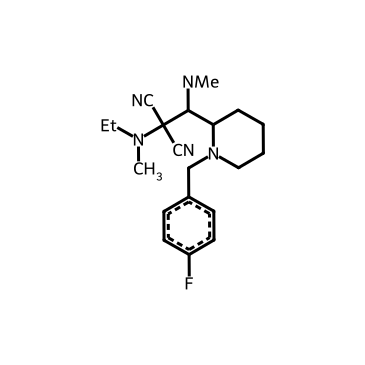 CCN(C)C(C#N)(C#N)C(NC)C1CCCCN1Cc1ccc(F)cc1